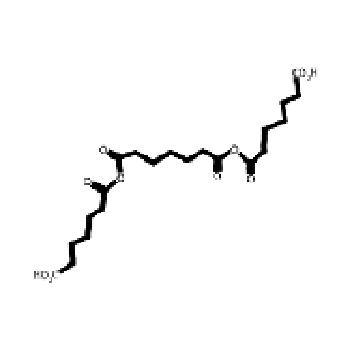 O=C(O)CCCCCC(=O)OC(=O)CCCCCC(=O)OC(=O)CCCCCC(=O)O